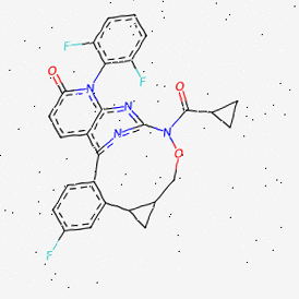 O=C(C1CC1)N1OCC2CC2c2cc(F)ccc2-c2nc1nc1c2ccc(=O)n1-c1c(F)cccc1F